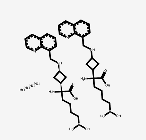 Cl.Cl.Cl.Cl.NC(CCCCB(O)O)(C(=O)O)C1CC(NCc2cccc3cccnc23)C1.NC(CCCCB(O)O)(C(=O)O)[C@H]1C[C@@H](NCc2cccc3cccnc23)C1